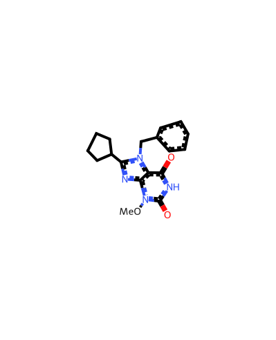 COn1c(=O)[nH]c(=O)c2c1nc(C1CCCC1)n2Cc1ccccc1